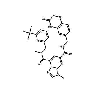 CN(Cc1cccc(C(F)(F)F)n1)C(=O)c1cc(C(=O)NCc2ccc3c(c2)NC(=O)CO3)nc2c(F)cnn12